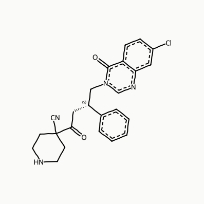 N#CC1(C(=O)C[C@H](Cn2cnc3cc(Cl)ccc3c2=O)c2ccccc2)CCNCC1